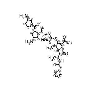 C[C@@H](NC(=O)Cn1cnnn1)[C@H]1C(=O)N2C(C(=O)O)=C(S[C@@H]3CN[C@H](C(=O)N4C[C@H](N)C[C@H]4C(=O)N4CCC(N)C4)C3)[C@H](C)[C@H]12